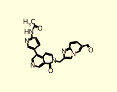 CC(=O)Nc1ccc(-c2cncc3c(=O)n(Cc4cn5cc(C=O)ccc5n4)ccc23)cn1